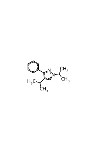 CC(C)c1cn(C(C)C)nc1-c1ccccc1